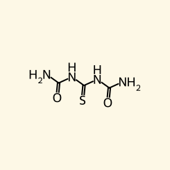 NC(=O)NC(=S)NC(N)=O